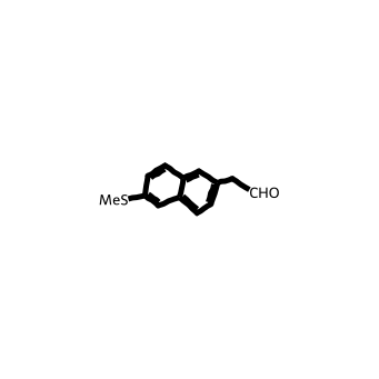 CSc1ccc2cc(CC=O)ccc2c1